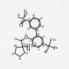 CC(Oc1ncc(C(F)(F)F)cc1-c1cccc(S(C)(=O)=O)c1)C1(O)CCCC1